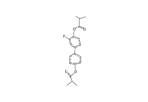 CC(C)C(=O)Oc1ccc(-c2ccc(OC(=O)C(C)C)c(F)c2)cc1